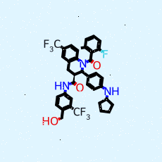 Cc1cccc(F)c1C(=O)N1c2ccc(C(F)(F)F)cc2C[C@H](C(=O)Nc2ccc(CO)c(C(F)(F)F)c2)C1c1ccc(NC2CCCC2)cc1